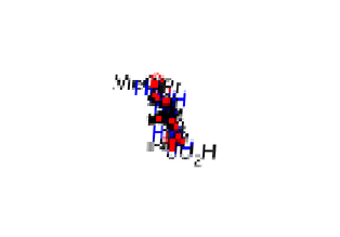 COC(=O)N[C@H](C(=O)N1CCC[C@H]1c1nc2cc(C3CC[C@H](c4ccc5[nH]c([C@@H]6CCCN6C(=O)[C@@H](NC(=O)O)C(C)C)nc5c4)N3c3ccc(C4CC4)cc3)ccc2[nH]1)C(C)C